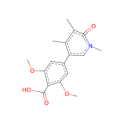 COc1cc(-c2cn(C)c(=O)c(C)c2C)cc(OC)c1C(=O)O